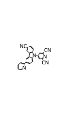 N#Cc1ccc2c(c1)c1cc(-c3ccccn3)ccc1n2-c1cc(C#N)nc(C#N)c1